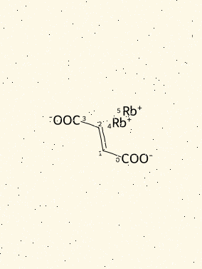 O=C([O-])C=CC(=O)[O-].[Rb+].[Rb+]